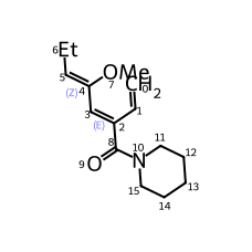 C=C/C(=C\C(=C\CC)OC)C(=O)N1CCCCC1